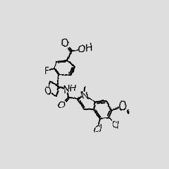 COc1cc2c(cc(C(=O)NC3(c4ccc(C(=O)O)cc4F)COC3)n2C)c(Cl)c1Cl